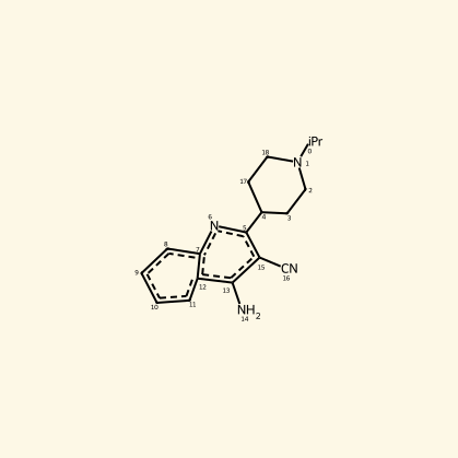 CC(C)N1CCC(c2nc3ccccc3c(N)c2C#N)CC1